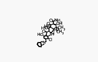 CN(C)[C@@H]1C(O)=C(C(N)=O)C(=O)[C@@]2(O)C(O)=C3C(=O)c4c(O)cc(CN5Cc6ccccc6C5)c(Cl)c4C[C@H]3C[C@@H]12